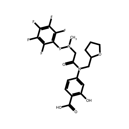 CN(CC(=O)N(CC1CCCO1)c1ccc(C(=O)O)c(O)c1)Sc1c(F)c(F)c(F)c(F)c1F